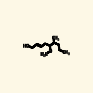 CCCC(C)C(CC=CCO)OC